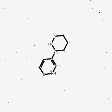 C1=CC(N2CCCS[N]2)=NNS1